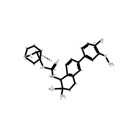 COc1cc(-c2ccc3c(c2)CCC(C)(C)C3NC(=O)O[C@H]2CN3CCC2CC3)ccc1Cl